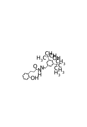 CC(C)(C)c1cc(C=NNC(=O)CCc2ccccc2O)cc(C(C)(C)C)c1O